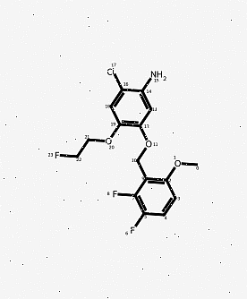 COc1ccc(F)c(F)c1COc1cc(N)c(Cl)cc1OCCF